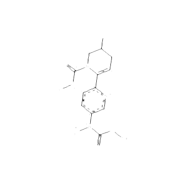 CC1CC=C(c2ccc(N(C)C(=O)OC(C)(C)C)cn2)N(C(=O)OC(C)(C)C)C1